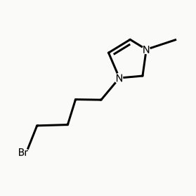 CN1C=CN(CCCCBr)C1